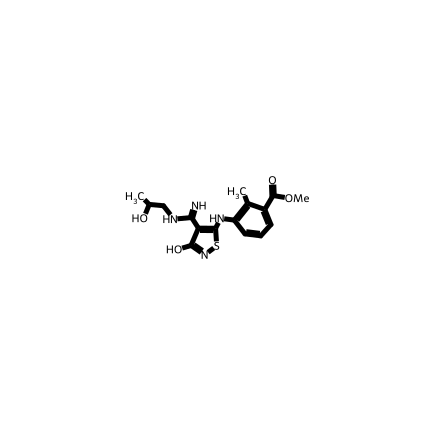 COC(=O)c1cccc(Nc2snc(O)c2C(=N)NCC(C)O)c1C